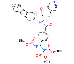 CCOC(=O)Cc1cc2c(s1)CCN(C(=O)[C@H](Cc1ccncc1)NC(=O)c1ccc(C(=NC(=O)OC(C)(C)C)N(C(=O)OC(C)(C)C)C(=O)OC(C)(C)C)cc1)C2